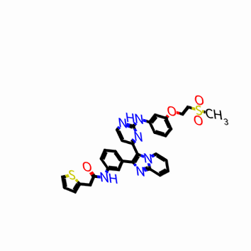 CS(=O)(=O)CCOc1cccc(Nc2nccc(-c3c(-c4cccc(NC(=O)Cc5cccs5)c4)nc4ccccn34)n2)c1